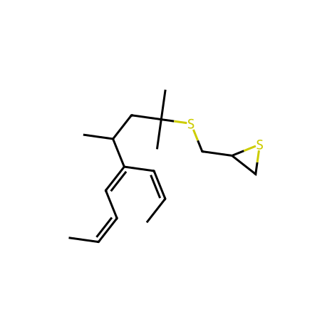 C\C=C/C=C(\C=C/C)C(C)CC(C)(C)SCC1CS1